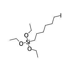 CCO[Si](CCCCCCI)(OCC)OCC